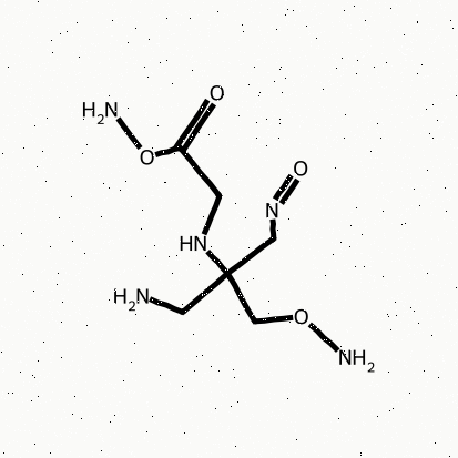 NCC(CN=O)(CON)NCC(=O)ON